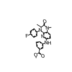 COC(=O)c1cccc(Nc2ccc3c(n2)N(c2ccc(F)cc2)C(C)C(=O)N3C)c1